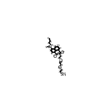 CCCCN(C)c1ccc2c3c(cccc13)C(=O)N(CCOCCOCCS)C2=O